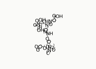 CCC(C)(C)C(=O)C(=O)N1CCCC[C@H]1C(=O)O[C@H](CCc1ccc(OC)c(OC)c1)c1cccc(OCCNc2cc(CN3C[C@@H](SC4=C(C(=O)O)N5C(=O)[C@H]([C@@H](C)O)[C@H]5[C@H]4C)C[C@H]3C(=O)Nc3cccc(C(=O)O)c3)ccn2)c1